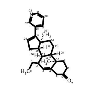 CCC1C=C2CC(=O)CC[C@]2(C)[C@H]2CC[C@]3(C)C(c4cccnc4)=CC[C@H]3[C@H]12